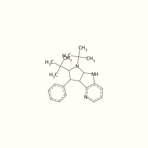 CC(C)(C)C1C(c2ccccc2)C2c3ncccc3NC2N1C(C)(C)C